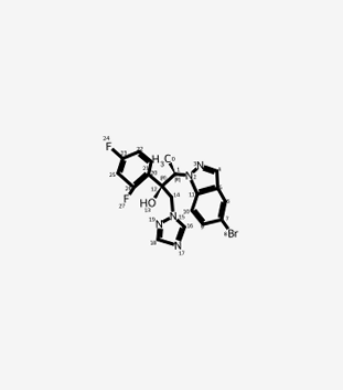 C[C@@H](n1ncc2cc(Br)ccc21)[C@](O)(Cn1cncn1)c1ccc(F)cc1F